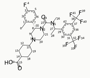 Cc1cc(F)ccc1[C@H]1CN(C2CCC(C(=O)O)CC2)CCN1C(=O)N(C)C(C)c1cc(C(F)(F)F)cc(C(F)(F)F)c1